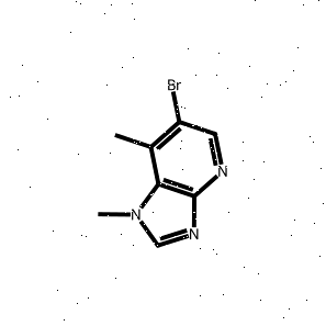 Cc1c(Br)cnc2ncn(C)c12